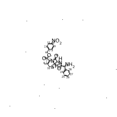 CC1=C(C(=O)OCc2ccc([N+](=O)[O-])cc2)N2C(=O)[C@@H](NC(=O)[C@H](N)c3ccccc3)[C@H]2SC1